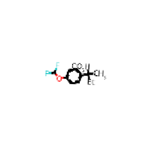 CCC(C)(C(=O)O)c1ccc(OC(F)F)cc1